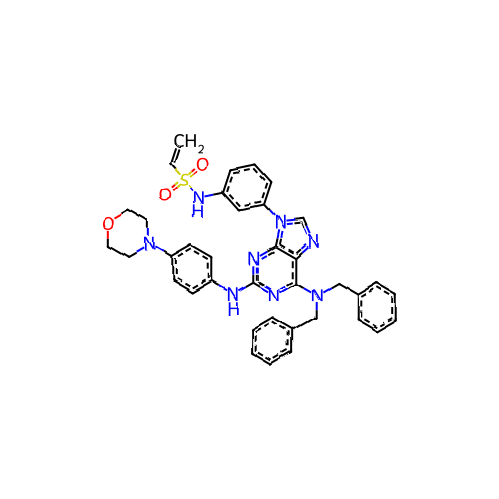 C=CS(=O)(=O)Nc1cccc(-n2cnc3c(N(Cc4ccccc4)Cc4ccccc4)nc(Nc4ccc(N5CCOCC5)cc4)nc32)c1